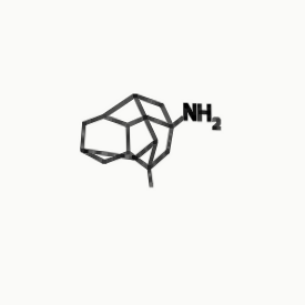 CC12CC3(N)CC4C5CC(CC41)CC2C5C3